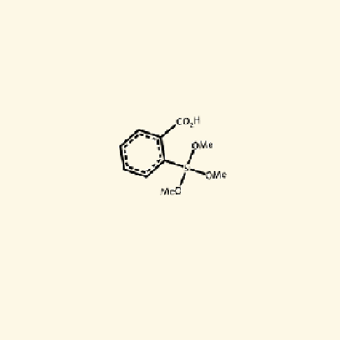 CO[Si](OC)(OC)c1ccccc1C(=O)O